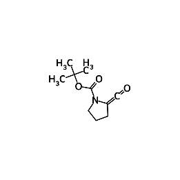 CC(C)(C)OC(=O)N1CCCC1=C=O